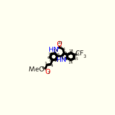 COC(=O)/C=C/c1ccc2c(c1)-c1[nH]c3ccc(C(F)(F)F)cc3c1CC(=O)N2